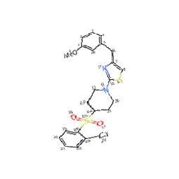 COc1cccc(Cc2csc(N3CCC(S(=O)(=O)c4ccccc4C#N)CC3)n2)c1